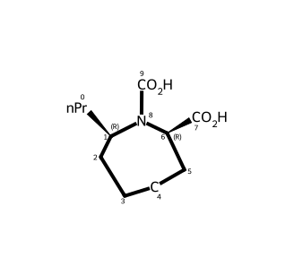 CCC[C@@H]1CCCC[C@H](C(=O)O)N1C(=O)O